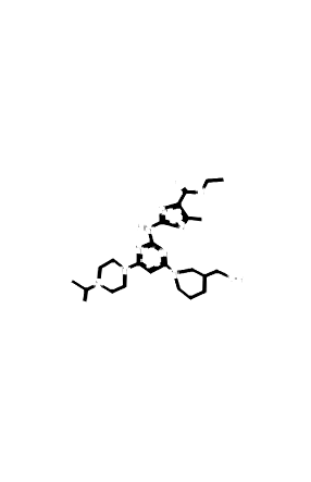 CCOC(=O)c1sc(Nc2nc(N3CCN(C(C)C)CC3)cc(N3CCCC(CO)C3)n2)nc1C